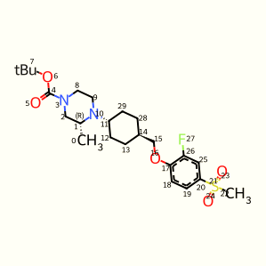 C[C@@H]1CN(C(=O)OC(C)(C)C)CCN1[C@H]1CC[C@H](COc2ccc(S(C)(=O)=O)cc2F)CC1